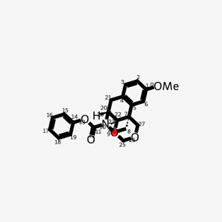 COc1ccc2c(c1)[C@]13CCN(C(=O)Oc4ccccc4)[C@H](C2)[C@]1(C)OCOC3